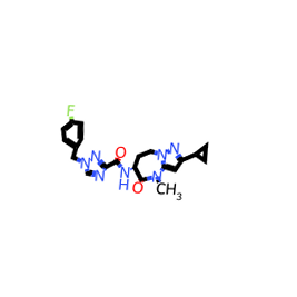 CN1C(=O)[C@H](NC(=O)c2ncn(Cc3ccc(F)cc3)n2)CCn2nc(C3CC3)cc21